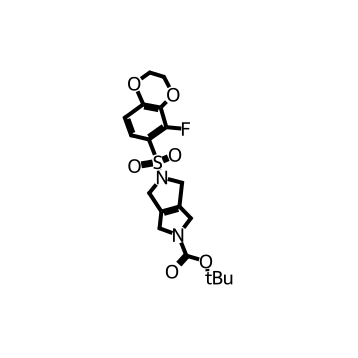 CC(C)(C)OC(=O)N1CC2=C(C1)CN(S(=O)(=O)c1ccc3c(c1F)OCCO3)C2